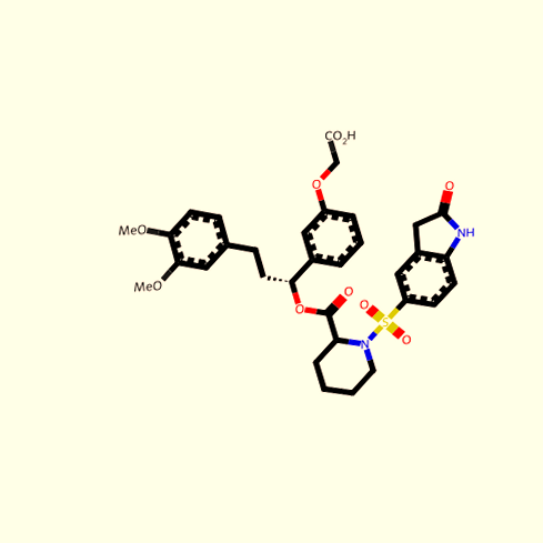 COc1ccc(CC[C@@H](OC(=O)C2CCCCN2S(=O)(=O)c2ccc3c(c2)CC(=O)N3)c2cccc(OCC(=O)O)c2)cc1OC